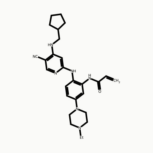 C=CC(=O)Nc1cc(N2CCN(CC)CC2)ccc1Nc1cc(NCC2CCCC2)c(C#N)cn1